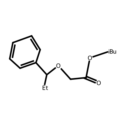 CCC(C)OC(=O)COC(CC)c1ccccc1